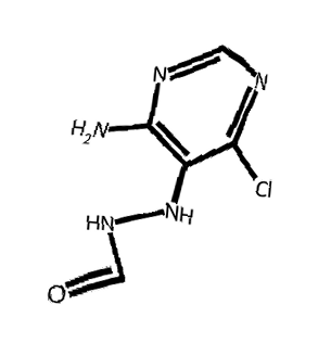 Nc1ncnc(Cl)c1NNC=O